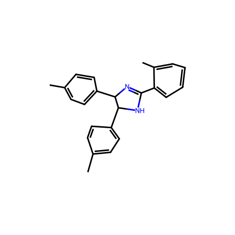 Cc1ccc(C2N=C(c3ccccc3C)NC2c2ccc(C)cc2)cc1